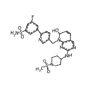 CS(=O)(=O)N1CCC(Nc2ncc3c(n2)N(Cc2ccc(-c4cc(F)cc(S(N)(=O)=O)c4)nc2)C(O)C=C3)CC1